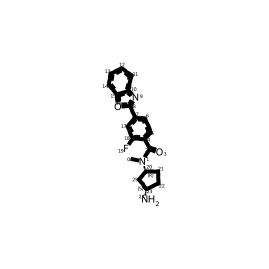 CN(C(=O)c1ccc(-c2nc3ccccc3o2)cc1F)[C@@H]1CC[C@H](N)C1